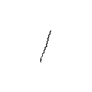 [CH2]CCCCCCCCCCCCCCCCCCCC